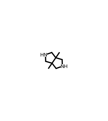 CC12CNCC1(C)CNC2